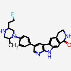 CC1CNC(CCF)CN1c1ccc(-c2cnc3[nH]c4cc5c(cc4c3c2)CCNC5=O)cc1